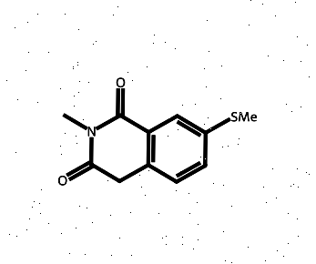 CSc1ccc2c(c1)C(=O)N(C)C(=O)C2